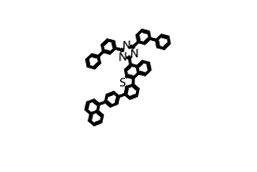 c1ccc(-c2cccc(-c3nc(-c4cccc(-c5ccccc5)c4)nc(-c4cc5sc6c(-c7ccc(-c8cccc9ccccc89)cc7)cccc6c5c5ccccc45)n3)c2)cc1